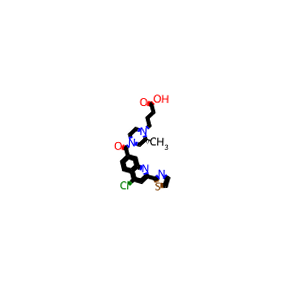 C[C@@H]1CN(C(=O)c2ccc3c(Cl)cc(-c4nccs4)nc3c2)CCN1CCCC(=O)O